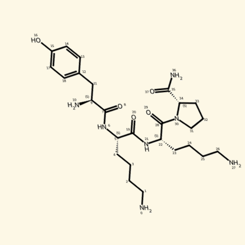 NCCCC[C@H](NC(=O)[C@@H](N)Cc1ccc(O)cc1)C(=O)N[C@@H](CCCCN)C(=O)N1CCC[C@H]1C(N)=O